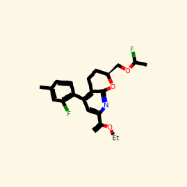 C=C(OCC)c1cc(-c2ccc(C)cc2F)c2c(n1)O[C@H](COC(C)F)CC2